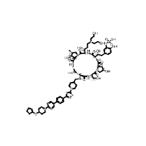 C[C@@H](O)[C@@H]1NC(=O)[C@@H](NCC2CCN(c3nnc(-c4ccc(-c5cnc(N6CCC(OC7CCCC7)CC6)nc5)cc4)s3)CC2)C[C@@H](O)CNC(=O)[C@@H]2[C@@H](O)[C@@H](C)CN2C(=O)[C@H]([C@H](O)CCN(CCO)CCO)NC(=O)[C@H]([C@H](O)Cc2ccc(O)c(OS(=O)(=O)O)c2)NC(=O)[C@@H]2C[C@@H](O)CN2C1=O